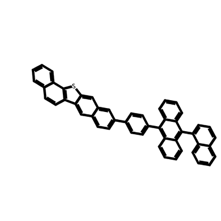 c1ccc2c(-c3c4ccccc4c(-c4ccc(-c5ccc6cc7c(cc6c5)sc5c6ccccc6ccc75)cc4)c4ccccc34)cccc2c1